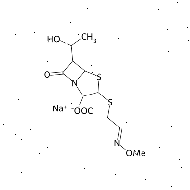 CON=CCSC1SC2C(C(C)O)C(=O)N2C1C(=O)[O-].[Na+]